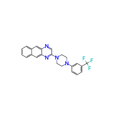 FC(F)(F)c1cccc(N2CCN(c3cnc4cc5ccccc5cc4n3)CC2)c1